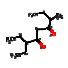 CCC(CC(F)(F)F)C(=O)CC(=O)C(CC(F)(F)F)CC(F)(F)F